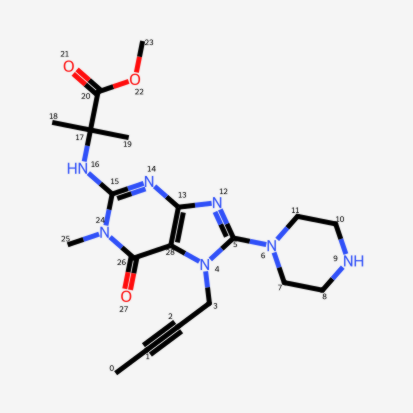 CC#CCn1c(N2CCNCC2)nc2nc(NC(C)(C)C(=O)OC)n(C)c(=O)c21